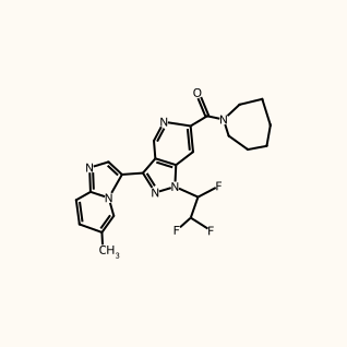 Cc1ccc2ncc(-c3nn(C(F)C(F)F)c4cc(C(=O)N5CCCCCC5)ncc34)n2c1